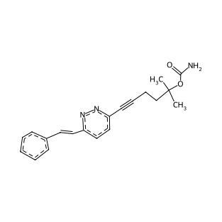 CC(C)(CCC#Cc1ccc(C=Cc2ccccc2)nn1)OC(N)=O